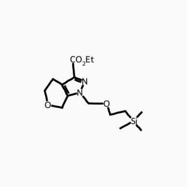 CCOC(=O)c1nn(COCC[Si](C)(C)C)c2c1CCOC2